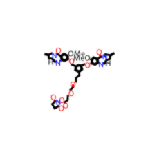 C=C1C[C@H]2C=Nc3cc(OCc4cc(CCCOCCOCCC(=O)ON5C(=O)CCC5=O)cc(COc5cc6c(cc5OC)C(=O)N5CC(=C)C[C@H]5C=N6)c4)c(OC)cc3C(=O)N2C1